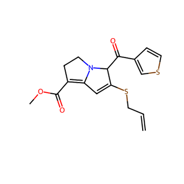 C=CCSC1=CC2=C(C(=O)OC)CCN2C1C(=O)c1ccsc1